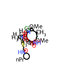 CCCC1CCCCCCCC(NC(=O)CCCSSCCC(=O)N(C)[C@@H](C)C(=O)O[C@H]2CC(=O)N(C)c3cc(cc(OC)c3Cl)C/C(C)=C/C=C/[C@@H](OC)[C@@]3(O)C[C@H](OC(=O)N3)[C@@H](C)[C@@H]3O[C@@]23C)CC1